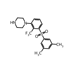 Cc1cc(C)cc(S(=O)(=O)c2cccc(N3CCNCC3)c2C(F)(F)F)c1